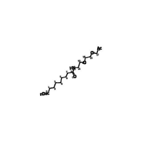 CCCCCCCCCCCCCCCCCC(=O)NCCOCCOCC(C)=O